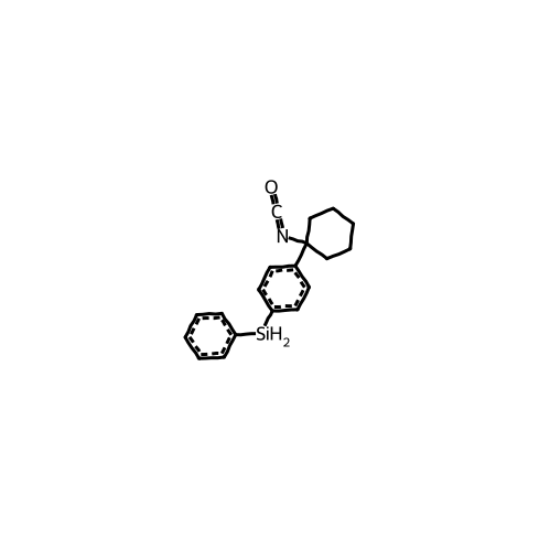 O=C=NC1(c2ccc([SiH2]c3ccccc3)cc2)CCCCC1